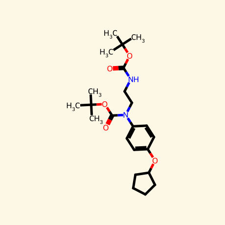 CC(C)(C)OC(=O)NCCN(C(=O)OC(C)(C)C)c1ccc(OC2CCCC2)cc1